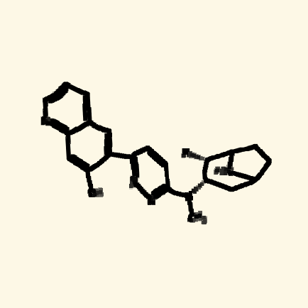 CN(c1ccc(-c2cc3cccnc3cc2O)nn1)[C@H]1CC2CCC(N2)[C@H]1F